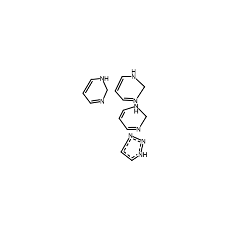 C1=CNCN=C1.C1=CNCN=C1.C1=CNCN=C1.c1c[nH]nn1